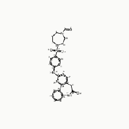 O=CN1CCCN(S(=O)(=O)c2ccc(Nc3ncc4c(n3)-c3ccccc3NC(=O)C4)cc2)CC1